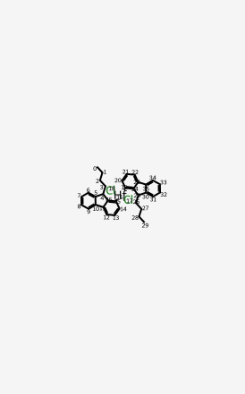 CCCCC1c2ccccc2-c2ccc[c]([Hf]([Cl])([Cl])[c]3cccc4c3C(CCCC)c3ccccc3-4)c21